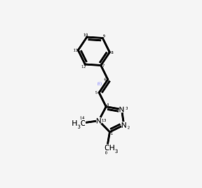 Cc1nnc(/C=C/c2ccccc2)n1C